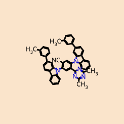 Cc1cccc(-c2ccc3c4ccccc4n(-c4cc(-c5nc(C)nc(C)n5)c(-n5c6ccccc6c6ccc(-c7cccc(C)c7)cc65)cc4C#N)c3c2)c1